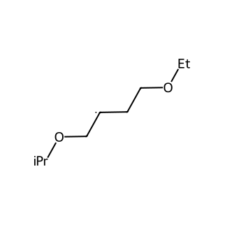 CCOCC[CH]COC(C)C